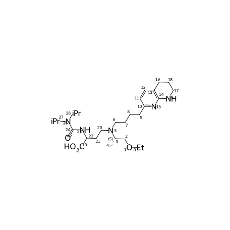 CCOC[C@H](C)N(CCCCc1ccc2c(n1)NCCC2)CCC(NC(=O)N(C(C)C)C(C)C)C(=O)O